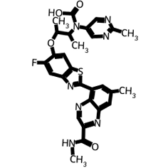 CNC(=O)c1cnc2c(-c3nc4cc(F)c(OC(C)C(C)N(C(=O)O)c5cnc(C)nc5)cc4s3)cc(C)cc2n1